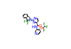 O=C(Nc1cnccc1OC(F)C(F)F)c1ccnc(NCc2ccccc2C(F)(F)F)n1